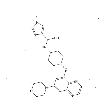 Cn1cnc(C(O)N[C@H]2CC[C@@H](Oc3cc(N4CCOCC4)cc4nccnc34)CC2)c1